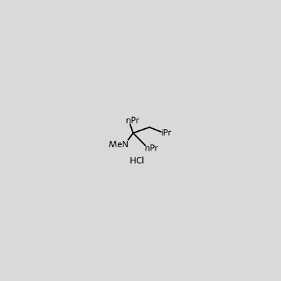 CCCC(CCC)(CC(C)C)NC.Cl